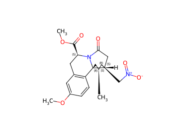 COC(=O)[C@@H]1Cc2cc(OC)ccc2[C@@]23C[C@H](C)[C@@H](C[N+](=O)[O-])[C@@H]2CC(=O)N13